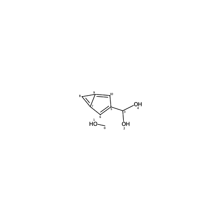 CO.OC(O)c1cc2cc-2c1